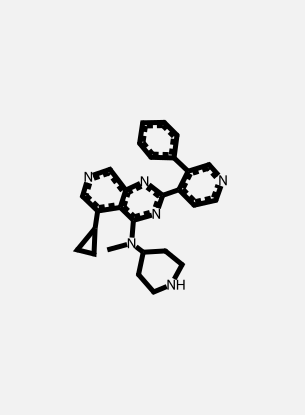 CN(c1nc(-c2ccncc2-c2ccccc2)nc2cncc(C3CC3)c12)C1CCNCC1